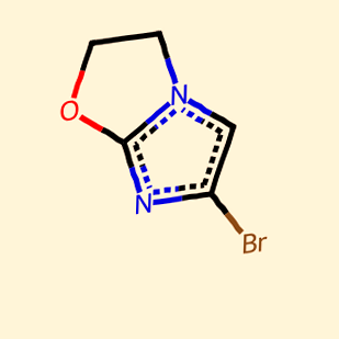 Brc1cn2c(n1)OCC2